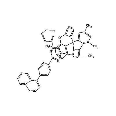 Cc1cc(C)c2c(c1)C1(c3ccccc3Oc3c(C)cccc31)c1c(-c3nc(-c4ccccc4)nc(-c4ccc(-c5cccc6ccccc56)cc4)n3)ccc(C)c1-2